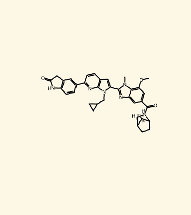 COc1cc(C(=O)N2CC3CCC2[C@@H]3N)cc2nc(-c3cc4ccc(-c5ccc6c(c5)CC(=O)N6)nc4n3CC3CC3)n(C)c12